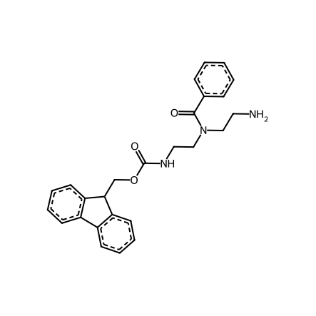 NCCN(CCNC(=O)OCC1c2ccccc2-c2ccccc21)C(=O)c1ccccc1